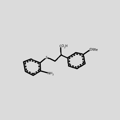 COc1cccc(C(CSc2ccccc2N)C(=O)O)c1